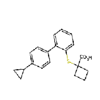 O=C(O)C1(Sc2ccccc2-c2ccc(C3CC3)cc2)CCC1